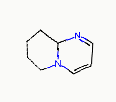 C1=CN2CCCCC2N=C1